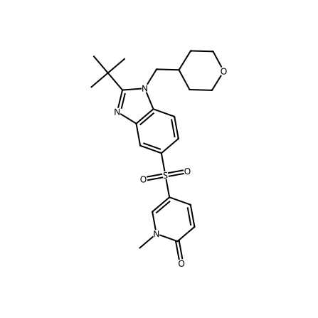 Cn1cc(S(=O)(=O)c2ccc3c(c2)nc(C(C)(C)C)n3CC2CCOCC2)ccc1=O